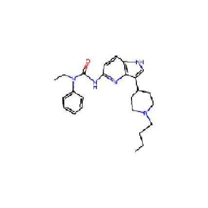 CCCCN1CCC(c2c[nH]c3ccc(NC(=O)N(CC)c4ccccc4)nc23)CC1